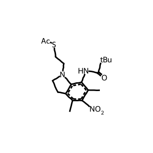 CC(=O)SCCN1CCc2c(C)c([N+](=O)[O-])c(C)c(NC(=O)C(C)(C)C)c21